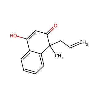 C=CCC1(C)C(=O)C=C(O)c2ccccc21